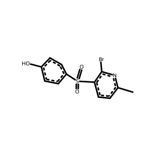 Cc1ccc(S(=O)(=O)c2ccc(O)cc2)c(Br)n1